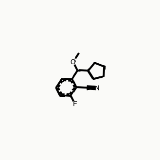 COC(c1cccc(F)c1C#N)C1CCCC1